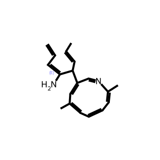 C=C/C=C(/N)C(C=CC)c1cnc(C)ccccc(C)c1